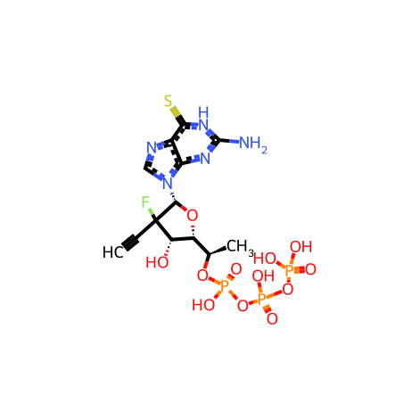 C#CC1(F)[C@@H](O)[C@@H]([C@@H](C)OP(=O)(O)OP(=O)(O)OP(=O)(O)O)O[C@H]1n1cnc2c(=S)[nH]c(N)nc21